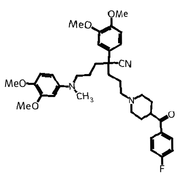 COc1ccc(N(C)CCCC(C#N)(CCCN2CCC(C(=O)c3ccc(F)cc3)CC2)c2ccc(OC)c(OC)c2)cc1OC